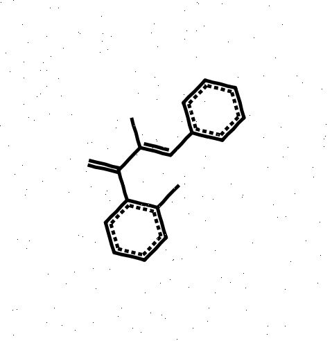 C=C(/C(C)=C/c1ccccc1)c1ccccc1C